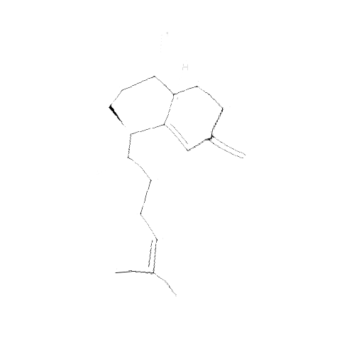 C=C1C=C2[C@H](CC1)[C@@H](C)CC[C@@H]2[C@@H](C)CCC=C(C)C